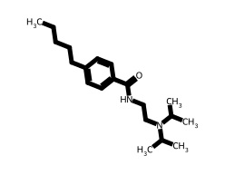 CCCCCc1ccc(C(=O)NCCN(C(C)C)C(C)C)cc1